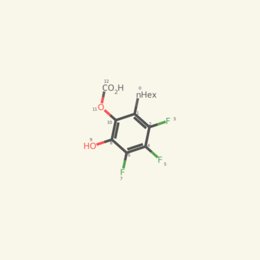 CCCCCCc1c(F)c(F)c(F)c(O)c1OC(=O)O